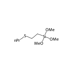 CCCSCC[Si](OC)(OC)OC